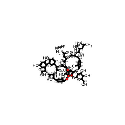 CNC(CC(C)C)C(=O)NC1C(=O)NC(CC(N)=O)C(=O)NC2C(=O)NC3C(=O)NC(C(=O)NC(C(=O)O)c4cc(O)cc(O)c4-c4cc3ccc4O)C(O)c3ccc(c(Cl)c3)Oc3cc2cc(c3OC2OC(CO)C(O)C(O)C2OC2CC(C)(N)C(O)C(C)O2)Oc2ccc(cc2Cl)C1O.[N-]=[N+]=[N-]